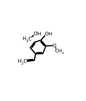 C=Cc1ccc(O)c(OC)c1.CO